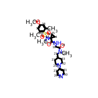 COc1cc(C)c(S(=O)(=O)N(C)C2(C(=O)NCC(=O)N(C)CC3CCN(c4ccncc4)CC3)CC2)c(C)c1